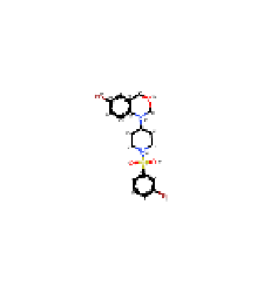 O=S(=O)(c1cccc(Br)c1)N1CCC(N2COCc3cc(Br)ccc32)CC1